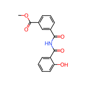 COC(=O)c1cccc(C(=O)NC(=O)c2ccccc2O)c1